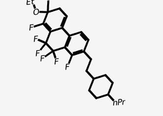 CCCC1CCC(CCc2ccc3c(c2F)C(F)(F)C(F)(F)C2=C(F)C(C)(OCC)CC=C23)CC1